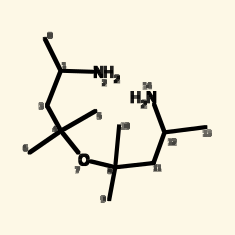 CC(N)CC(C)(C)OC(C)(C)CC(C)N